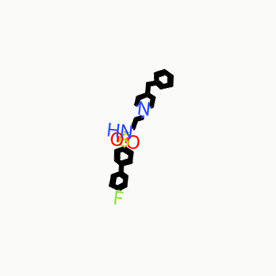 O=S(=O)(NCCCN1CCC(Cc2ccccc2)CC1)c1ccc(-c2ccc(F)cc2)cc1